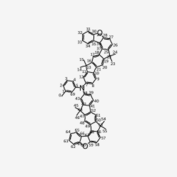 Cc1cccc(N(c2ccc3c(c2)C(C)(C)c2cc4c(cc2-3)C(C)(C)c2ccc3oc5ccccc5c3c2-4)c2ccc3c(c2)C(C)(C)c2cc4c(cc2-3)C(C)(C)c2ccc3oc5ccccc5c3c2-4)c1